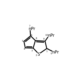 CCC[C]1SC2=CC=C(CCC)C2=C1CCC